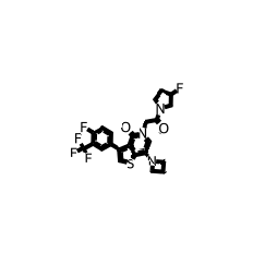 O=C(Cn1cc(N2CCC2)c2scc(-c3ccc(F)c(C(F)(F)F)c3)c2c1=O)N1CCC(F)C1